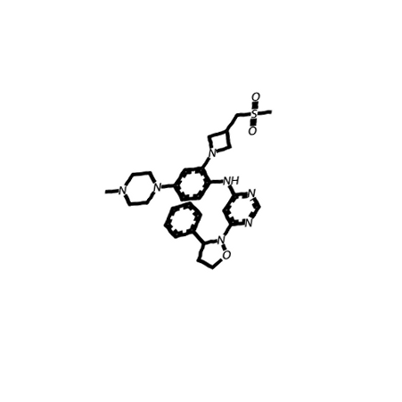 CN1CCN(c2ccc(Nc3cc(N4OCCC4c4ccccc4)ncn3)c(N3CC(CS(C)(=O)=O)C3)c2)CC1